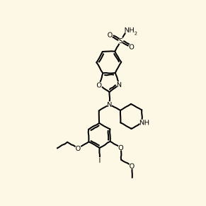 CCOc1cc(CN(c2nc3cc(S(N)(=O)=O)ccc3o2)C2CCNCC2)cc(OCOC)c1I